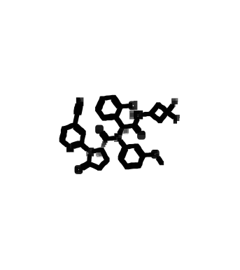 COc1cccc(N(C(=O)[C@@H]2CCC(=O)N2c2cc(C#N)ccn2)[C@H](C(=O)NC2CC(F)(F)C2)c2ccccc2Cl)c1